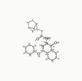 O=C(CC1CC2CCC1C2)Nn1nc(Oc2ccccc2)c2ccccc2c1=O